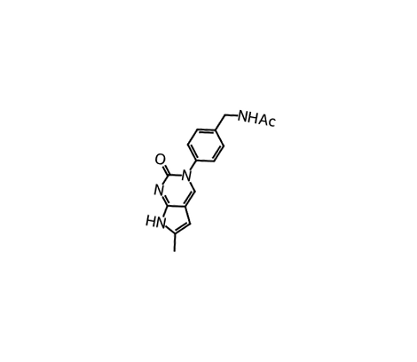 CC(=O)NCc1ccc(-n2cc3cc(C)[nH]c3nc2=O)cc1